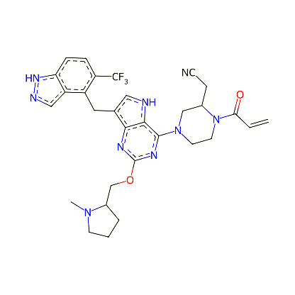 C=CC(=O)N1CCN(c2nc(OCC3CCCN3C)nc3c(Cc4c(C(F)(F)F)ccc5[nH]ncc45)c[nH]c23)CC1CC#N